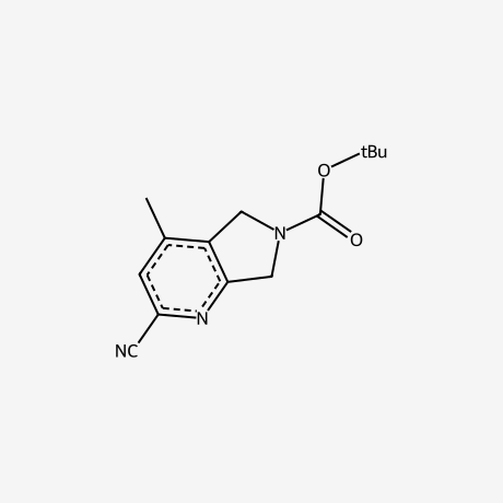 Cc1cc(C#N)nc2c1CN(C(=O)OC(C)(C)C)C2